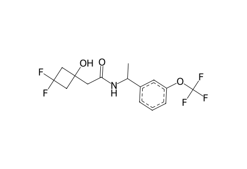 CC(NC(=O)CC1(O)CC(F)(F)C1)c1cccc(OC(F)(F)F)c1